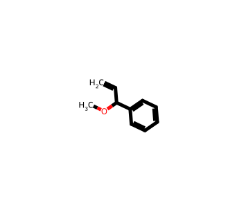 C=CC(OC)c1ccccc1